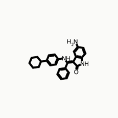 Nc1ccc2c(c1)C(=C(Nc1ccc(C3CCCCC3)cc1)c1ccccc1)C(=O)N2